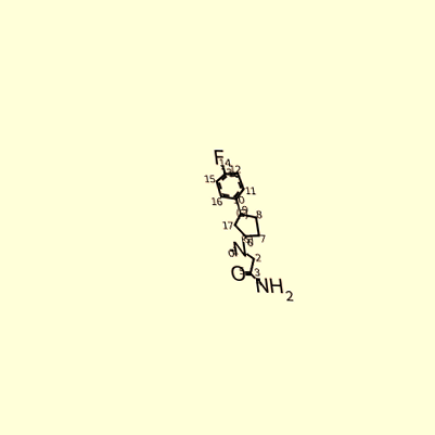 CN(CC(N)=O)[C@H]1CC[C@H](c2ccc(F)cc2)C1